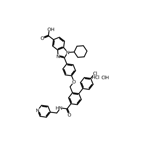 Cl.Cl.O=C(O)c1ccc2c(c1)nc(-c1ccc(OCc3cc(C(=O)NCc4ccncc4)ccc3-c3ccc(Cl)cc3)cc1)n2C1CCCCC1